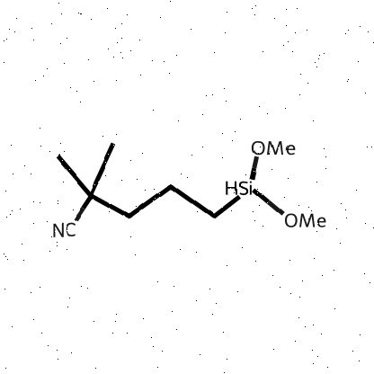 CO[SiH](CCCC(C)(C)C#N)OC